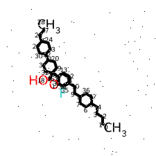 CCCCCC1CCC(CCc2ccc(C3(C(=O)O)CCC(C4CCC(CCC)CC4)CC3)cc2F)CC1